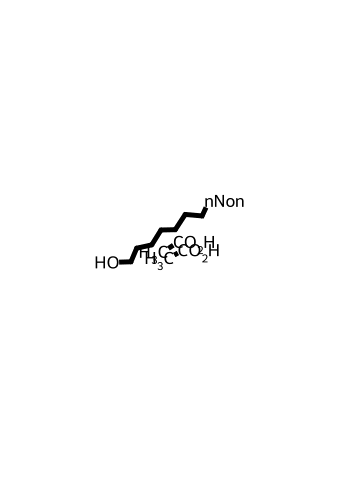 CC(=O)O.CC(=O)O.CCCCCCCCCCCCCCCCO